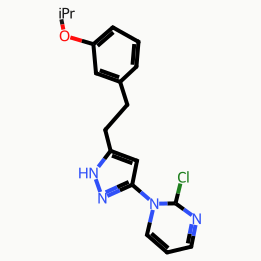 CC(C)Oc1cccc(CCc2cc(N3C=CC=NC3Cl)n[nH]2)c1